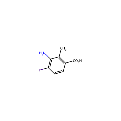 Cc1c(C(=O)O)ccc(I)c1N